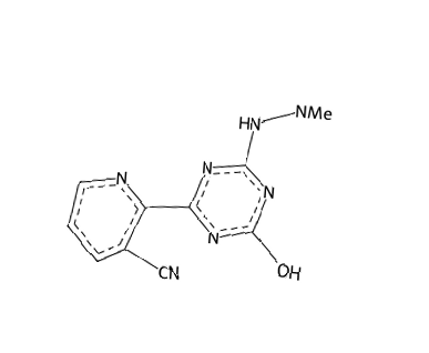 CNNc1nc(O)nc(-c2ncccc2C#N)n1